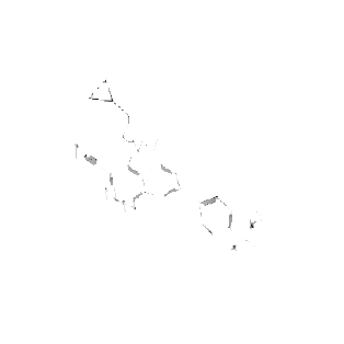 CS(=O)(=O)c1ccc(-c2ccc3c(NCCC4CC4)c(C#N)nnc3c2)cc1